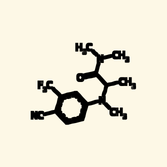 CC(C(=O)N(C)C)N(C)c1ccc(C#N)c(C(F)(F)F)c1